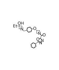 CCC1(O)CN(Cc2ccc(OC3CN(C(=O)c4nnc(-c5ccccc5)o4)C3)cc2)C1